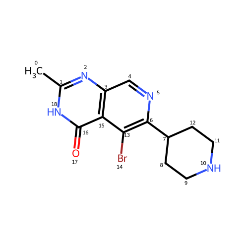 Cc1nc2cnc(C3CCNCC3)c(Br)c2c(=O)[nH]1